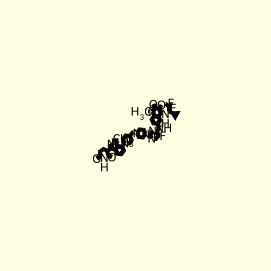 Cn1nc(C2CCC(=O)NC2=O)c2cccc(N3CCC(CN4CCN(c5ncc(F)c(Nc6ccc7c(c6)c6c(c(=O)n7C)OCC(F)(F)C(C7CC7)N6)n5)CC4)CC3)c21